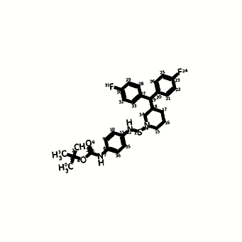 CC(C)(C)OC(=O)Nc1ccc(NSN2CCCC(C(c3ccc(F)cc3)c3ccc(F)cc3)C2)cc1